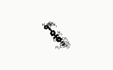 CCC(CC)(c1ccc(C#CC2(O[Si](C)(C)C)CCCC2)cc1)c1ccc(B2OC(C)(C)C(C)(C)O2)c(C)c1